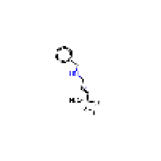 CC(C)(C)/C=C/CNCc1ccccc1